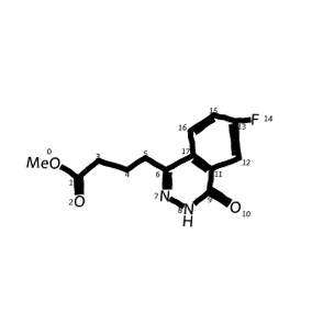 COC(=O)CCCc1n[nH]c(=O)c2cc(F)ccc12